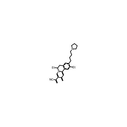 C=C(C#N)C1=CN2C(=CC1=C)c1cc(CC)c(CCCCN3CCCC3)cc1CC2CC